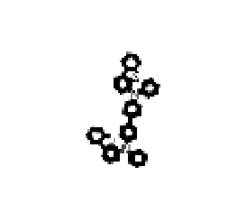 C1=CC2Sc3c(cccc3N(c3ccccc3)c3ccc(-c4ccc(N(c5ccccc5)c5cccc6c5SC5C=CC=CC65)cc4)cc3)C2C=C1